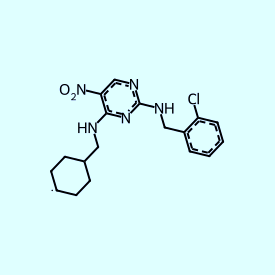 O=[N+]([O-])c1cnc(NCc2ccccc2Cl)nc1NCC1CC[CH]CC1